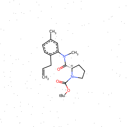 C=CCc1ccc(C)cc1N(C)C(=O)[C@@H]1CCCN1C(=O)OC(C)(C)C